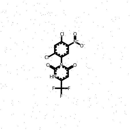 O=c1cc(C(F)(F)F)[nH]c(=O)n1-c1cc([N+](=O)[O-])c(Cl)cc1Cl